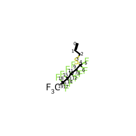 C=CCSC(F)(F)C(F)(F)C(F)(F)C(F)(F)C(F)(F)C(F)(F)F